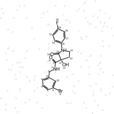 O=C(NCc1cccc(Br)c1)[C@@]1(O)CCN(c2ccc(F)cc2)C1=O